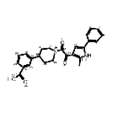 Cc1[nH]c(-c2ccccc2)cc1C(=O)C(=O)N1CCC(c2cccc(C(=O)O)c2)CC1